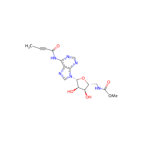 CC#CC(=O)Nc1ncnc2c1ncn2[C@@H]1O[C@H](CNC(=O)OC)[C@@H](O)[C@H]1O